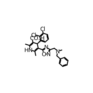 CC1=C(C(=O)O)C(c2cccc(Cl)c2Cl)C(c2nc(CN(C)Cc3ccccc3)no2)=C(C)N1